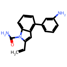 C=Cc1cc2c(-c3cccc(N)c3)cccc2n1C(N)=O